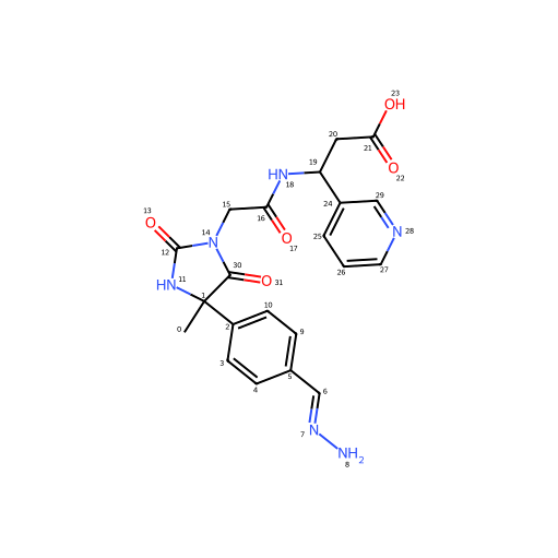 CC1(c2ccc(C=NN)cc2)NC(=O)N(CC(=O)NC(CC(=O)O)c2cccnc2)C1=O